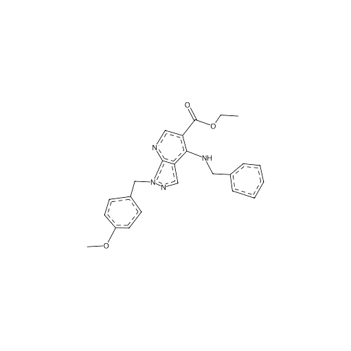 CCOC(=O)c1cnc2c(cnn2Cc2ccc(OC)cc2)c1NCc1ccccc1